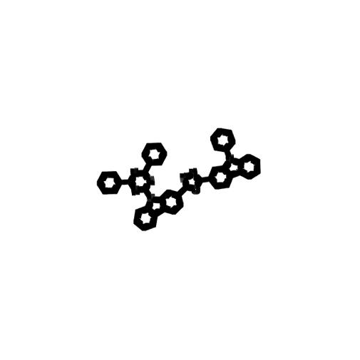 c1ccc(-c2nc(-c3ccccc3)nc(-n3c4ccccc4c4ccc(-c5nnc(-c6ccc7c8ccccc8n(-c8ccccc8)c7c6)o5)cc43)n2)cc1